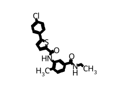 CCNC(=O)c1ccc(C)c(NC(=O)c2ccc(-c3ccc(Cl)cc3)s2)c1